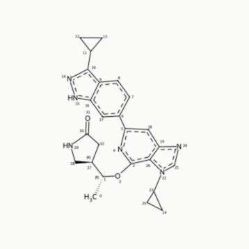 C[C@@H](Oc1nc(-c2ccc3c(C4CC4)n[nH]c3c2)cc2ncn(C3CC3)c12)[C@H]1CNC(=O)C1